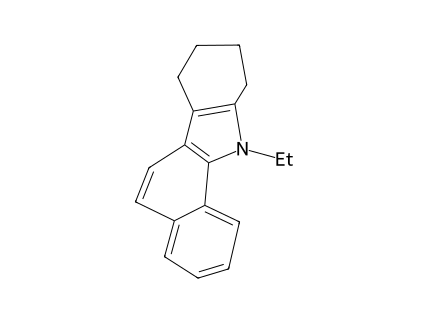 CCn1c2c(c3ccc4ccccc4c31)CCCC2